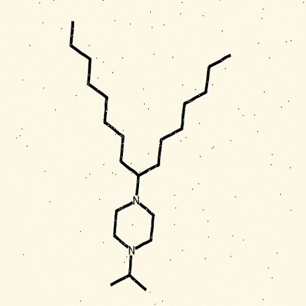 CCCCCCCCC(CCCCCCC)N1CCN(C(C)C)CC1